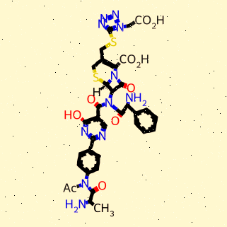 CC(=O)N(C(=O)C(C)N)c1ccc(-c2ncc(C(=O)N(C(=O)C(N)c3ccccc3)C3C(=O)N4C(C(=O)O)=C(CSc5nnnn5CC(=O)O)CS[C@@H]34)c(O)n2)cc1